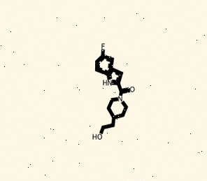 O=C(c1cc2cc(F)ccc2[nH]1)N1CCC(CCO)CC1